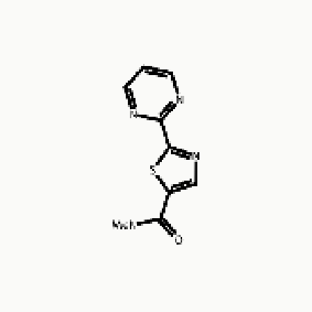 CNC(=O)c1cnc(-c2ncccn2)s1